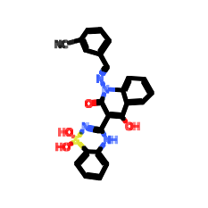 N#Cc1cccc(C=Nn2c(=O)c(C3=NS(O)(O)c4ccccc4N3)c(O)c3ccccc32)c1